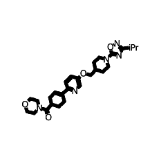 CC(C)c1noc(N2CCC(COc3ccc(C4=CCC(C(=O)N5CCOCC5)CC4)nc3)CC2)n1